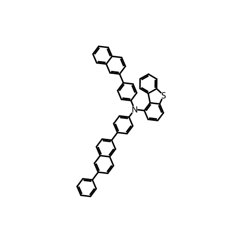 c1ccc(-c2ccc3cc(-c4ccc(N(c5ccc(-c6ccc7ccccc7c6)cc5)c5cccc6sc7ccccc7c56)cc4)ccc3c2)cc1